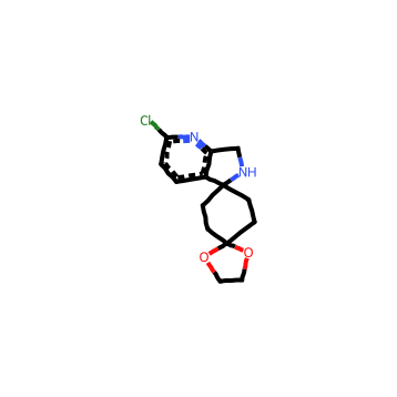 Clc1ccc2c(n1)CNC21CCC2(CC1)OCCO2